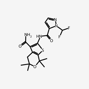 CC1(C)Cc2c(sc(NC(=O)c3ccnn3C(F)F)c2C(N)=O)C(C)(C)O1